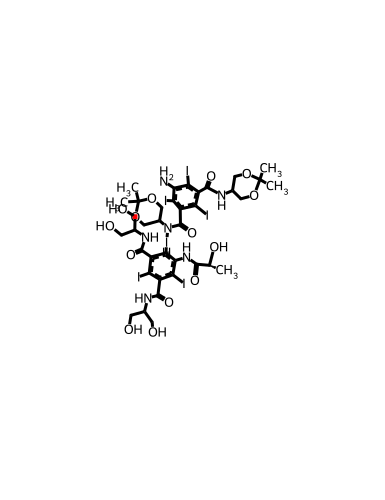 C[C@H](O)C(=O)Nc1c(I)c(C(=O)NC(CO)CO)c(I)c(C(=O)NC(CO)CO)c1[IH]N(C(=O)c1c(I)c(N)c(I)c(C(=O)NC2COC(C)(C)OC2)c1I)C1COC(C)(C)OC1